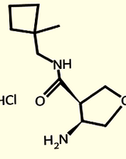 CC1(CNC(=O)[C@H]2COC[C@H]2N)CCC1.Cl